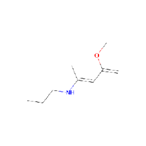 C=C(/C=C(\C)NCCC)OC